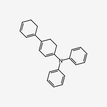 C1=CCCC(C2=CC=C(N(c3ccccc3)c3ccccc3)CC2)=C1